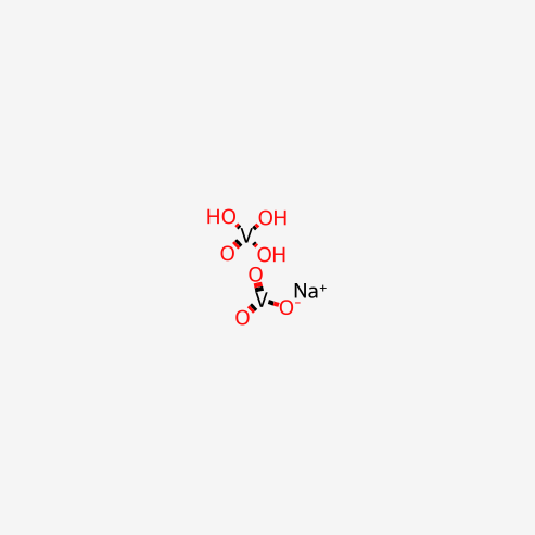 [Na+].[O]=[V](=[O])[O-].[O]=[V]([OH])([OH])[OH]